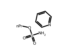 CCCOS(N)(=O)=O.c1ccncc1